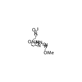 C=CC(=O)N1CC(CCn2c(=O)ccc3cnc(Nc4cnn(CCOC)c4)nc32)C1